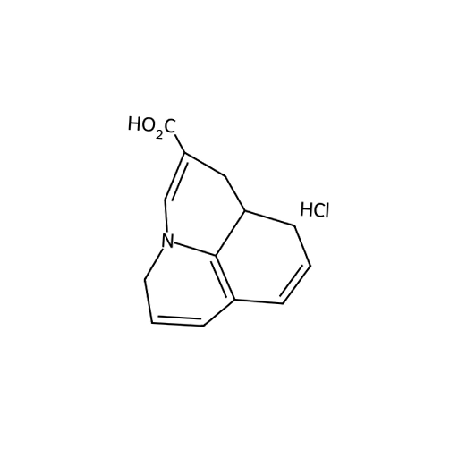 Cl.O=C(O)C1=CN2CC=CC3=C2C(CC=C3)C1